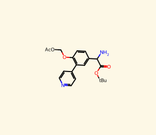 CC(=O)OCOc1ccc(C(N)C(=O)OC(C)(C)C)cc1-c1ccncc1